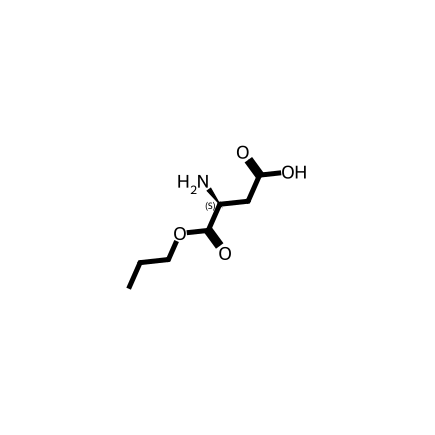 CCCOC(=O)[C@@H](N)CC(=O)O